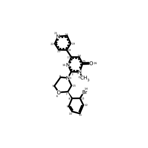 Cn1c(N2CCO[C@H](C3C=CC=CC3Br)C2)nc(-c2ccncc2)cc1=O